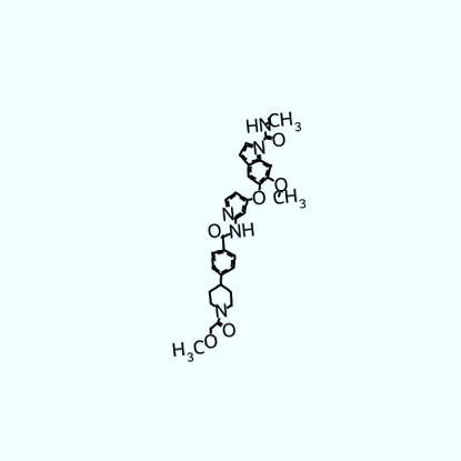 CNC(=O)n1ccc2cc(Oc3ccnc(NC(=O)c4ccc(C5CCN(C(=O)COC)CC5)cc4)c3)c(OC)cc21